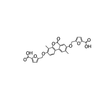 Cc1cc2c(cc1OCc1ccc(C(=O)O)o1)c(=O)oc1c(C)c(OCc3ccc(C(=O)O)o3)ccc12